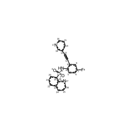 O=S(=O)(Nc1ccc(F)cc1C#Cc1cccnc1)c1cccc2cccnc12